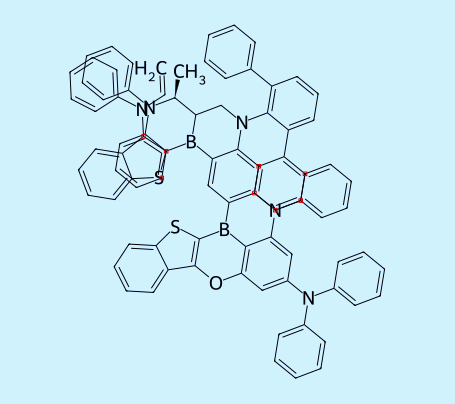 C=CN(c1ccccc1)c1c(B2c3cc4c(cc3N(c3c(-c5ccccc5)cccc3-c3ccccc3)CC2[C@H](C)N(c2ccccc2)c2ccccc2)N(c2ccccc2)c2cc(N(c3ccccc3)c3ccccc3)cc3c2B4c2sc4ccccc4c2O3)sc2ccccc12